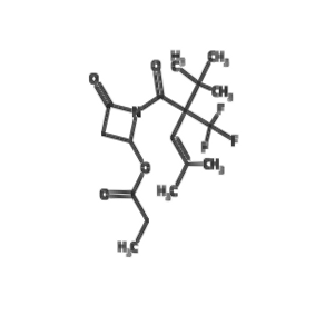 CCC(=O)OC1CC(=O)N1C(=O)C(C=C(C)C)(C(C)(C)C)C(F)(F)F